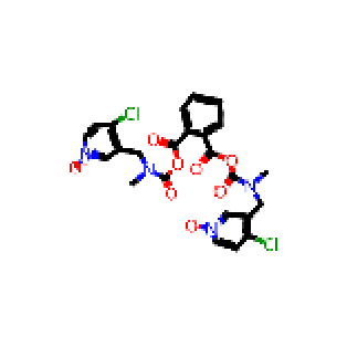 CN(Cc1c[n+]([O-])ccc1Cl)C(=O)OC(=O)c1ccccc1C(=O)OC(=O)N(C)Cc1c[n+]([O-])ccc1Cl